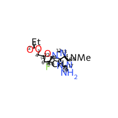 CCC(=O)OC[C@@H]1C[C@@](C)(F)[C@H](n2cnc3c(NC)nc(N)nc32)O1